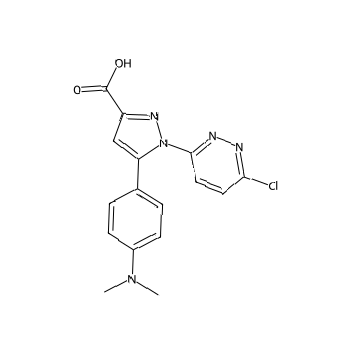 CN(C)c1ccc(-c2cc(C(=O)O)nn2-c2ccc(Cl)nn2)cc1